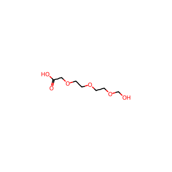 O=C(O)COCCOCCOCO